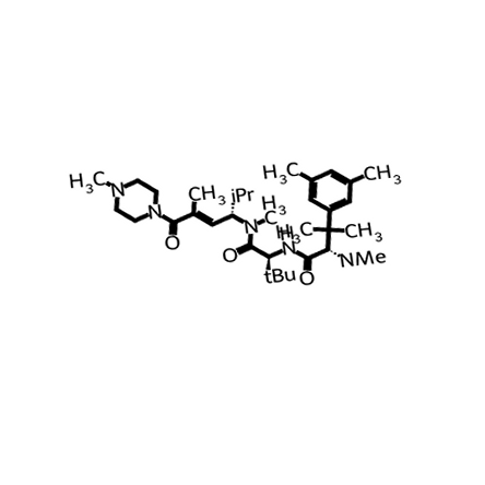 CN[C@H](C(=O)N[C@H](C(=O)N(C)[C@H](/C=C(\C)C(=O)N1CCN(C)CC1)C(C)C)C(C)(C)C)C(C)(C)c1cc(C)cc(C)c1